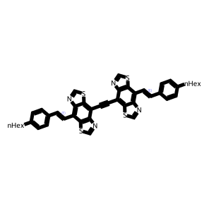 CCCCCCc1ccc(/C=C/c2c3ncsc3c(C#Cc3c4ncsc4c(/C=C/c4ccc(CCCCCC)cc4)c4ncsc34)c3ncsc23)cc1